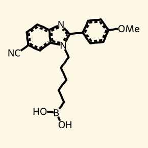 COc1ccc(-c2nc3ccc(C#N)cc3n2CCCCCB(O)O)cc1